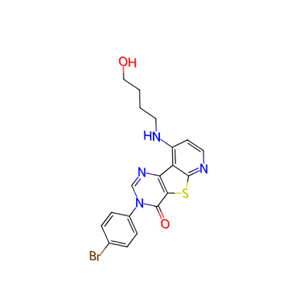 O=c1c2sc3nccc(NCCCCO)c3c2ncn1-c1ccc(Br)cc1